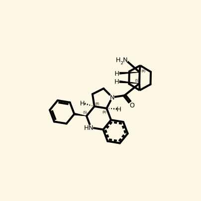 N[C@@H]1C2CCC(CC2)[C@@H]1C(=O)N1CC[C@@H]2[C@H](C3C=CC=CC3)Nc3ccccc3[C@@H]21